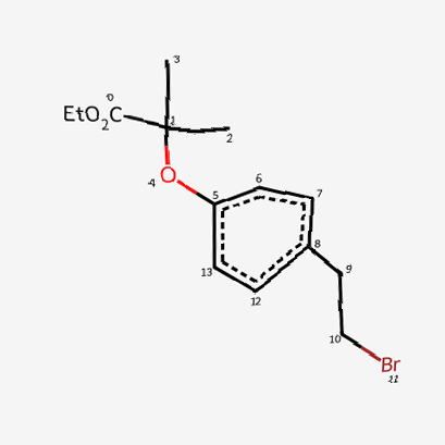 CCOC(=O)C(C)(C)Oc1ccc(CCBr)cc1